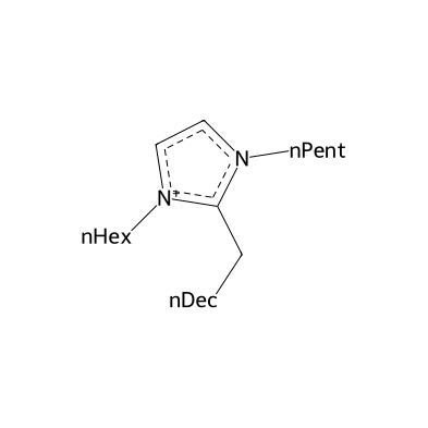 CCCCCCCCCCCc1n(CCCCC)cc[n+]1CCCCCC